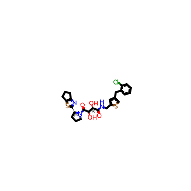 O=C(NCc1cc(Cc2ccccc2Cl)cs1)[C@H](O)[C@@H](O)C(=O)N1CCC[C@@H]1c1nc2c(s1)CCC2